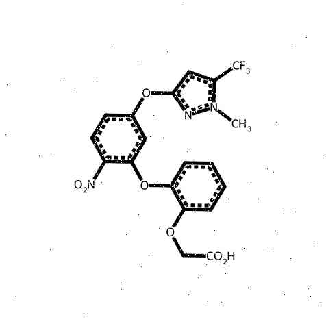 Cn1nc(Oc2ccc([N+](=O)[O-])c(Oc3ccccc3OCC(=O)O)c2)cc1C(F)(F)F